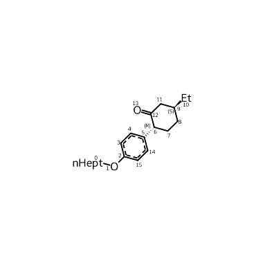 CCCCCCCOc1ccc([C@H]2CC[C@H](CC)CC2=O)cc1